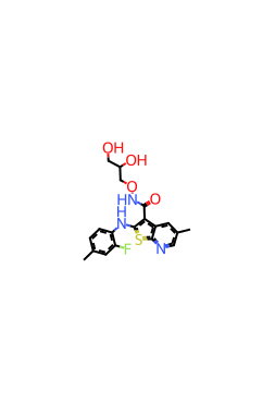 Cc1ccc(Nc2sc3ncc(C)cc3c2C(=O)NOCC(O)CO)c(F)c1